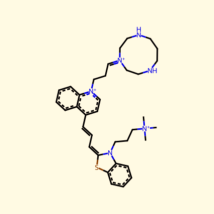 C[N+](C)(C)CCCN1C(=CC=Cc2cc[n+](CCC=[N+]3CCNCCCNCC3)c3ccccc23)Sc2ccccc21